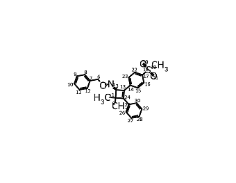 CC1(C)C(=NOCc2ccccc2)C(c2ccc(S(C)(=O)=O)cc2)=C1c1ccccc1